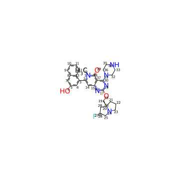 Cn1c(-c2cc(O)cc3ccccc23)cc2nc(OC[C@@]34CCCN3C[C@H](F)C4)nc(N3CCNCC3)c2c1=O